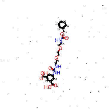 O=C(NCCOCCOCCNC(=O)OCc1ccccc1)Nc1cc(C(=O)O)cc(C(=O)O)c1